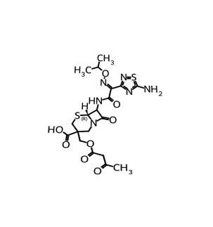 CC(=O)CC(=O)OCC1(C(=O)O)CS[C@@H]2C(NC(=O)C(=NOC(C)C)c3nsc(N)n3)C(=O)N2C1